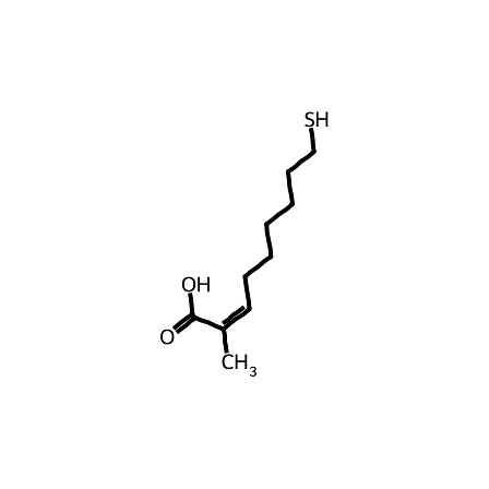 CC(=CCCCCCCS)C(=O)O